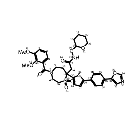 COc1cccc(C(=O)N2CCC(CC(=O)NOC3CCCCO3)(c3ccc(-c4ccc(-c5cnco5)cc4)s3)S(=O)(=O)CC2)c1OC